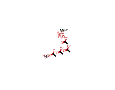 CC(=O)[O-].CC(=O)[O-].CC(=O)[O-].CC(=O)[O-].O.O.O.O.[Mn+2].[Ni+2]